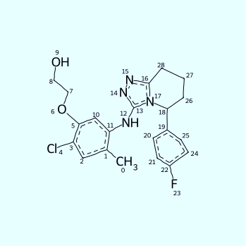 Cc1cc(Cl)c(OCCO)cc1Nc1nnc2n1C(c1ccc(F)cc1)CCC2